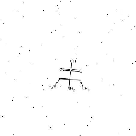 CCC(N)(CN)S(=O)(=O)O